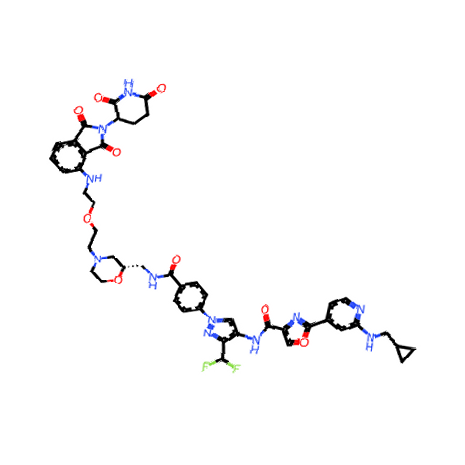 O=C1CCC(N2C(=O)c3cccc(NCCOCCN4CCO[C@@H](CNC(=O)c5ccc(-n6cc(NC(=O)c7coc(-c8ccnc(NCC9CC9)c8)n7)c(C(F)F)n6)cc5)C4)c3C2=O)C(=O)N1